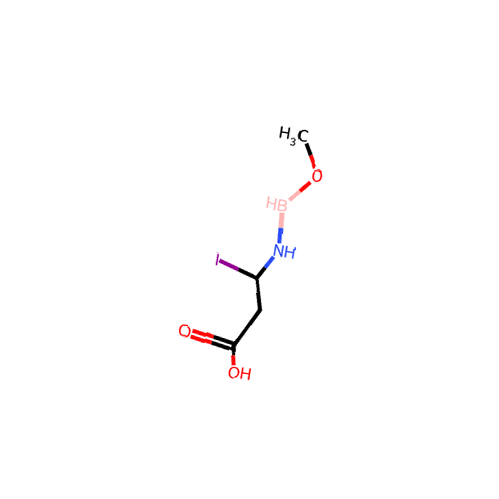 COBNC(I)CC(=O)O